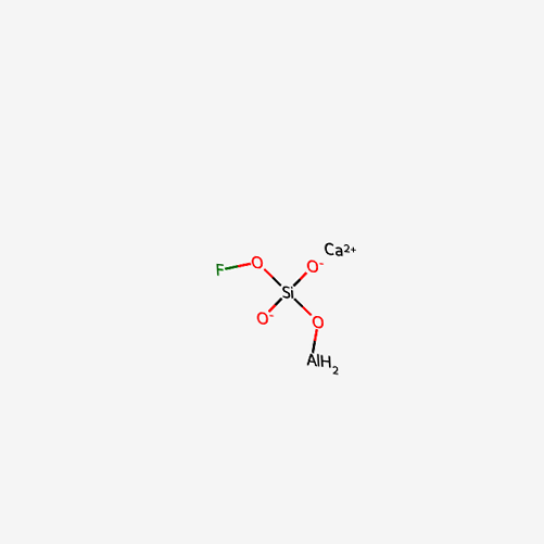 [Ca+2].[O-][Si]([O-])(OF)[O][AlH2]